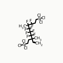 C=CC(C)(CC[Si](Cl)(Cl)Cl)C(F)(F)C(F)(F)C(F)(F)[C@](C)(F)C(F)(F)CC[Si](Cl)(Cl)Cl